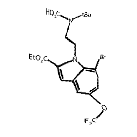 CCOC(=O)c1cc2cc(OC(F)(F)F)cc(Br)c2n1CCN(C(=O)O)C(C)(C)C